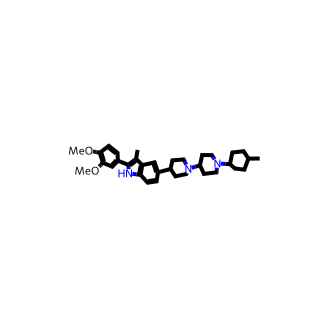 COc1ccc(-c2[nH]c3ccc(C4CCN(C5CCN(C6CCC(C)CC6)CC5)CC4)cc3c2C)cc1OC